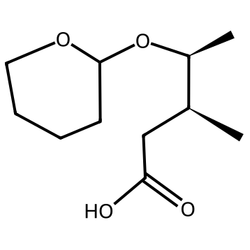 C[C@H](OC1CCCCO1)[C@@H](C)CC(=O)O